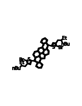 CCCCC(CC)Cc1cc(-c2c3ccccc3c3cc4ccc5c(-c6cc(CC(CC)CCCC)c(Br)s6)c6ccccc6c6cc7ccc2c3c7c4c56)sc1Br